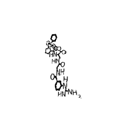 N=C(N)Nc1cccc(C(=O)NCC(=O)NCC(NC(=O)C2CCCN2S(=O)(=O)c2ccccc2)C(=O)O)c1